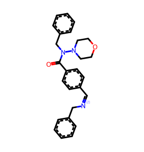 O=C(c1ccc(/C=N\Cc2ccccc2)cc1)N(Cc1ccccc1)N1CCOCC1